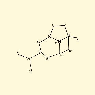 CC(C)C1CC2CCC3(C)CC(C1)N23